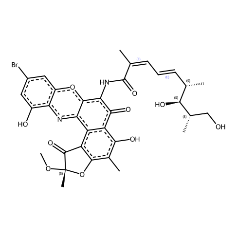 CO[C@@]1(C)Oc2c(C)c(O)c3c(=O)c(NC(=O)/C(C)=C\C=C\[C@H](C)[C@H](O)[C@@H](C)CO)c4oc5cc(Br)cc(O)c5nc-4c3c2C1=O